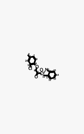 Cc1ccc(OCC(=O)OCc2ccccc2[N+](=O)[O-])c(Cl)c1